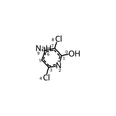 Oc1nc(Cl)ccc1Cl.[NaH]